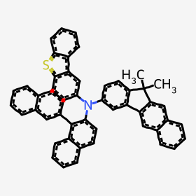 CC1(C)c2ccc(N(c3ccc4sc5ccccc5c4c3)c3ccc4ccccc4c3-c3ccc4ccccc4c3)cc2-c2cc3ccccc3cc21